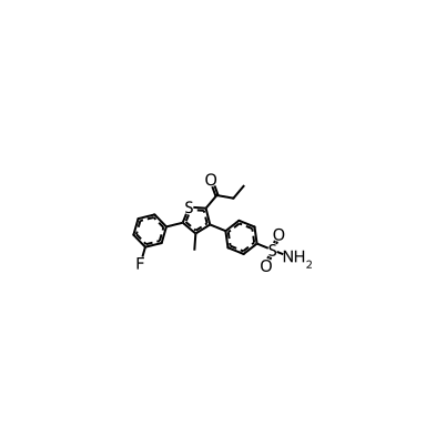 CCC(=O)c1sc(-c2cccc(F)c2)c(C)c1-c1ccc(S(N)(=O)=O)cc1